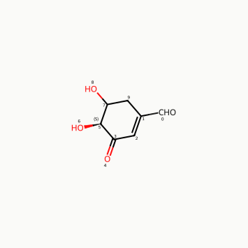 O=CC1=CC(=O)[C@@H](O)C(O)C1